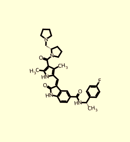 Cc1[nH]c(/C=C2\C(=O)Nc3ccc(C(=O)N[C@@H](C)c4ccc(F)cc4)cc32)c(C)c1C(=O)N1CCC[C@H]1CN1CCCC1